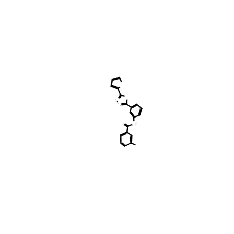 O=C(Nc1cccc(-c2nnc(-c3ccco3)o2)c1)c1cccc(Br)c1